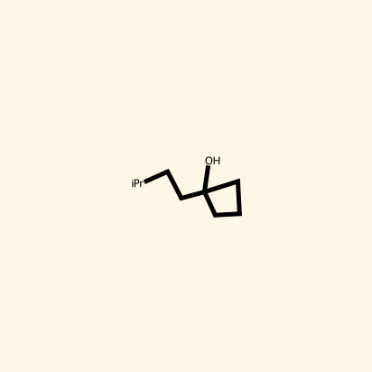 CC(C)CCC1(O)CCC1